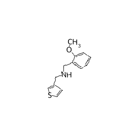 COc1ccccc1CNCc1ccsc1